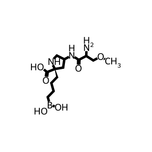 COCC(N)C(=O)NC1CN[C@@](CCCCB(O)O)(C(=O)O)C1